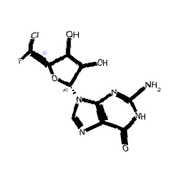 Nc1nc2c(ncn2[C@@H]2O/C(=C(\F)Cl)C(O)C2O)c(=O)[nH]1